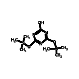 C[Si](C)(C)Oc1nc(O)nc(O[Si](C)(C)C)n1